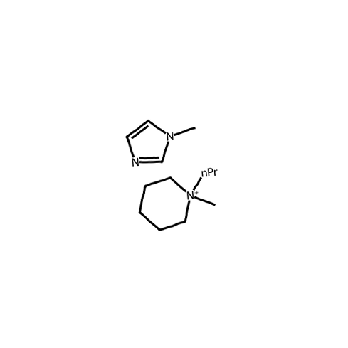 CCC[N+]1(C)CCCCC1.Cn1ccnc1